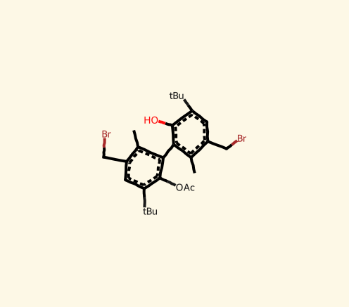 CC(=O)Oc1c(C(C)(C)C)cc(CBr)c(C)c1-c1c(C)c(CBr)cc(C(C)(C)C)c1O